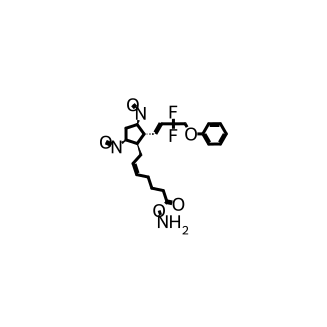 NOC(=O)CCC/C=C\C[C@@H]1[C@@H](/C=C/C(F)(F)COc2ccccc2)[C@H](N=O)C[C@@H]1N=O